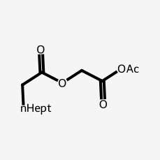 CCCCCCCCC(=O)OCC(=O)OC(C)=O